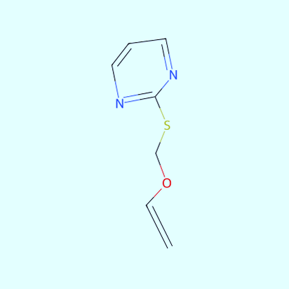 C=COCSc1ncccn1